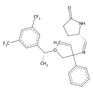 C=CC(CO[C@H](C)c1cc(C(F)(F)F)cc(C(F)(F)F)c1)(/N=C\[C@@H]1CCC(=O)N1)c1ccccc1